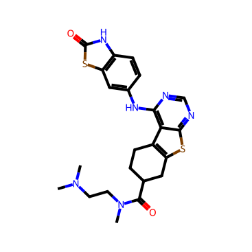 CN(C)CCN(C)C(=O)C1CCc2c(sc3ncnc(Nc4ccc5[nH]c(=O)sc5c4)c23)C1